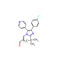 CC(C)(C)c1nc(-c2ccc(F)cc2)c(-c2ccncc2)n1C=CC=O